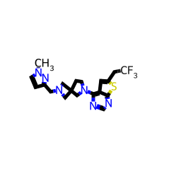 Cn1ccc(CN2CC3(CCN(c4ncnc5sc(CC(F)(F)F)cc45)C3)C2)n1